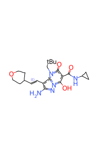 CC(C)(C)Cn1c(=O)c(C(=O)NC2CC2)c(O)n2nc(N)c(/C=C/C3CCOCC3)c12